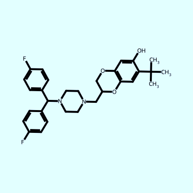 CC(C)(C)c1cc2c(cc1O)OCC(CN1CCN(C(c3ccc(F)cc3)c3ccc(F)cc3)CC1)O2